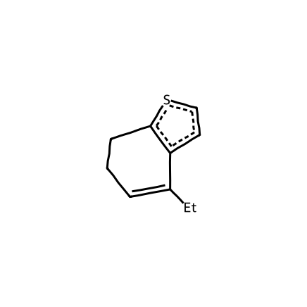 CCC1=CCCc2sccc21